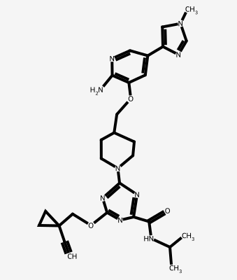 C#CC1(COc2nc(C(=O)NC(C)C)nc(N3CCC(COc4cc(-c5cn(C)cn5)cnc4N)CC3)n2)CC1